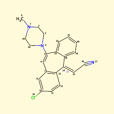 CN1CCN(C2=Cc3cc(Cl)ccc3/C(=C/C#N)c3ccccc32)CC1